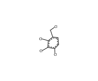 Cl[CH]c1ccc(Cl)c(Cl)c1Cl